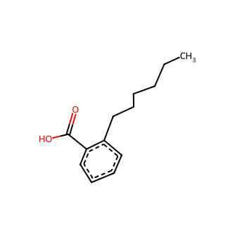 CCCCCCc1ccccc1C(=O)O